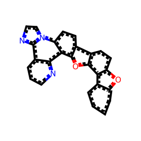 c1ccc2c(c1)oc1ccc3c4ccc5c(c6ncccc6c6nccn56)c4oc3c12